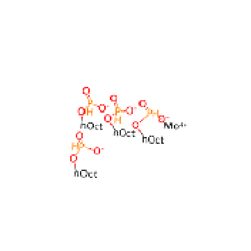 CCCCCCCCO[PH](=O)[O-].CCCCCCCCO[PH](=O)[O-].CCCCCCCCO[PH](=O)[O-].CCCCCCCCO[PH](=O)[O-].[Mo+4]